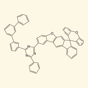 c1ccc(-c2cccc(-c3cccc(-c4nc(-c5ccccc5)nc(-c5ccc6oc7cc8c(cc7c6c5)-c5ccccc5C85c6ccccc6Oc6ccccc65)n4)c3)c2)cc1